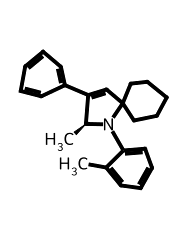 Cc1ccccc1N1[C@@H](C)C(c2ccccc2)=CC12CCCCC2